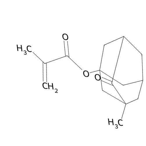 C=C(C)C(=O)OC12CC3CC(C1)C(=O)C(C)(C3)C2